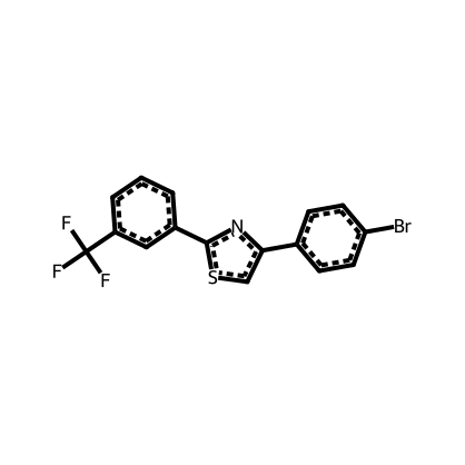 FC(F)(F)c1cccc(-c2nc(-c3ccc(Br)cc3)cs2)c1